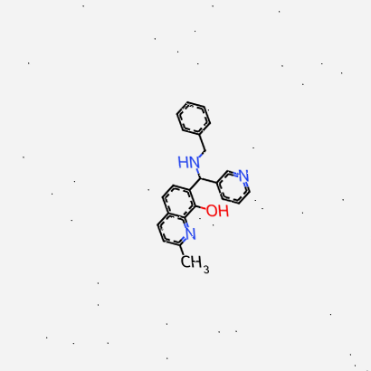 Cc1ccc2ccc(C(NCc3ccccc3)c3cccnc3)c(O)c2n1